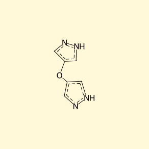 c1n[nH]cc1Oc1cn[nH]c1